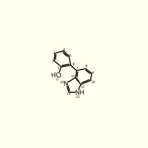 Oc1ccc[c]c1-c1cccc2[nH]cnc12